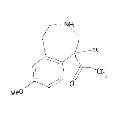 CCC1(C(=O)C(F)(F)F)CNCCc2cc(OC)ccc21